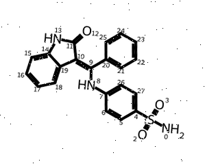 NS(=O)(=O)c1ccc(NC(=C2C(=O)Nc3ccccc32)c2ccccc2)cc1